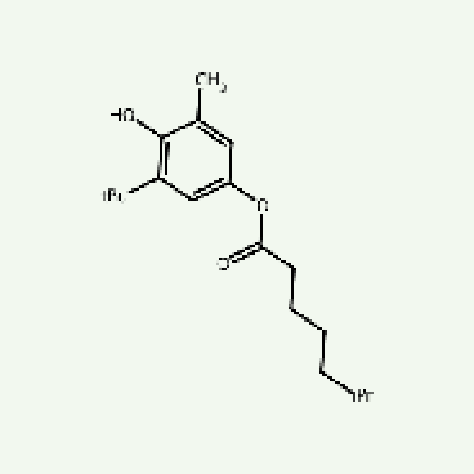 Cc1cc(OC(=O)CCCCC(C)C)cc(C(C)(C)C)c1O